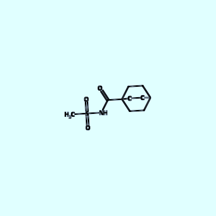 CS(=O)(=O)NC(=O)C12CCC(CC1)CC2